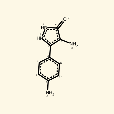 Nc1ccc(-c2[nH][nH]c(=O)c2N)cc1